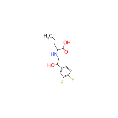 CCCC(NCC(O)c1ccc(F)c(F)c1)C(=O)O